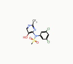 CS(=O)(=O)N(c1cc(Cl)cc(Cl)c1)c1nc(C(F)(F)F)ncc1O